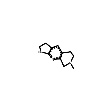 CN1CCc2cc3c(nc2C1)NCC3